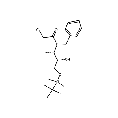 C[C@@H]([C@H](O)CO[Si](C)(C)C(C)(C)C)N(Cc1ccccc1)C(=O)CCl